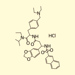 CCN(CC)Cc1ccc(CC(NC(=O)CC(NS(=O)(=O)c2ccc3ccccc3c2)c2ccc3c(c2)OCO3)C(=O)N(CC)C(C)C)cc1.Cl